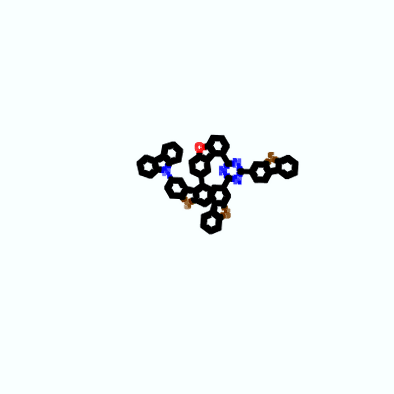 c1cc(-c2nc(-c3ccc4c(c3)sc3ccccc34)nc(-c3ccc4c(c3)sc3ccccc34)n2)c2c(c1)oc1ccc(-c3cccc4sc5ccc(-n6c7ccccc7c7ccccc76)cc5c34)cc12